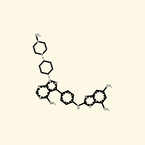 Cc1cc(C)c2sc(Nc3ccc(-c4nn([C@H]5CC[C@@H](N6CCN(C)CC6)CC5)c5ncnc(N)c45)cc3)nc2c1